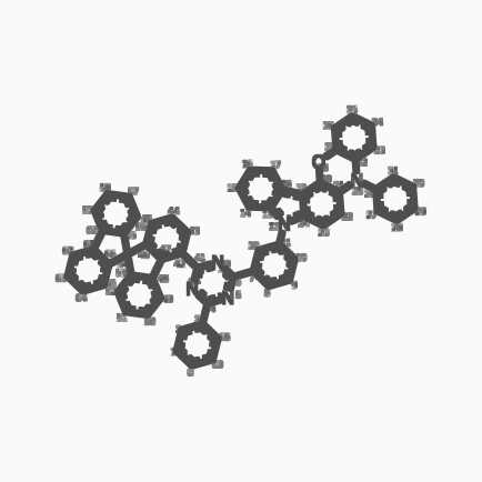 c1ccc(-c2nc(-c3cccc(-n4c5ccccc5c5c6c(ccc54)N(c4ccccc4)c4ccccc4O6)c3)nc(-c3cccc4c3-c3ccccc3C43c4ccccc4-c4ccccc43)n2)cc1